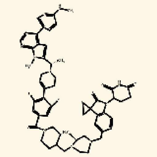 CNc1ccc(-c2ccnc3c2cc([C@H](C)N2CC=C(c4c(F)cc(C(=O)N5CCC(CN6CCN(Cc7ccc8c(c7)C7(CC7)C(=O)N8C7CCC(=O)NC7=O)C[C@@H]6C)CC5)cc4F)CC2)n3C)cn1